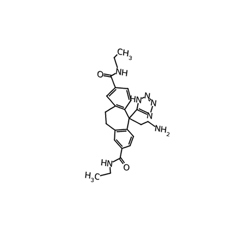 CCNC(=O)c1ccc2c(c1)CCc1cc(C(=O)NCC)ccc1C2(CCN)c1nnn[nH]1